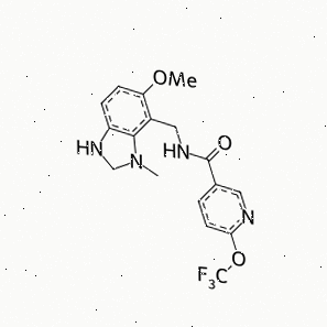 COc1ccc2c(c1CNC(=O)c1ccc(OC(F)(F)F)nc1)N(C)CN2